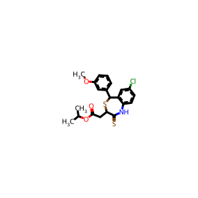 COc1cccc(C2SC(CC(=O)OC(C)C)C(=S)Nc3ccc(Cl)cc32)c1